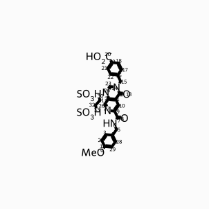 COc1ccc(CNC(=O)c2cc3c(=O)n(Cc4ccc(C(=O)O)cc4)cnc3cn2)cc1.O=S(=O)(O)CCS(=O)(=O)O